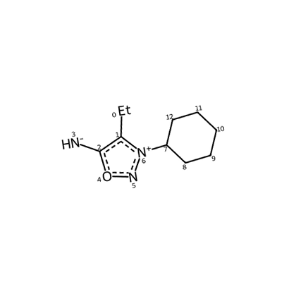 CCc1c([NH-])on[n+]1C1CCCCC1